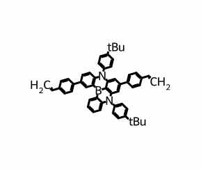 C=Cc1ccc(-c2ccc3c(c2)B2c4ccccc4N(c4ccc(C(C)(C)C)cc4)c4cc(-c5ccc(C=C)cc5)cc(c42)N3c2ccc(C(C)(C)C)cc2)cc1